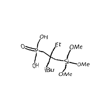 CCC(C)C(CC)([Si](OC)(OC)OC)P(=O)(O)O